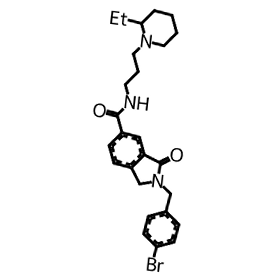 CCC1CCCCN1CCCNC(=O)c1ccc2c(c1)C(=O)N(Cc1ccc(Br)cc1)C2